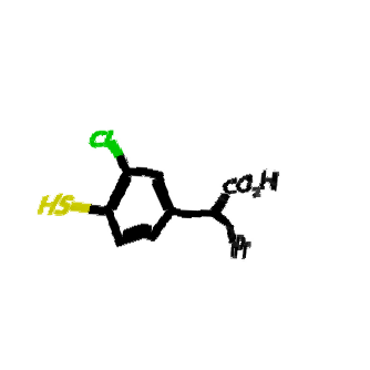 CC(C)C(C(=O)O)c1ccc(S)c(Cl)c1